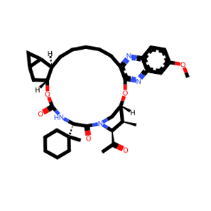 COc1ccc2nc3c(nc2c1)O[C@H]1CN(C(=O)[C@H](C2(C)CCCCC2)NC(=O)O[C@@H]2CC4CC4[C@H]2CCCCC3)[C@H](C(C)=O)[C@@H]1C